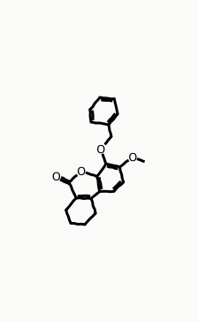 COc1ccc2c3c(c(=O)oc2c1OCc1ccccc1)CCCC3